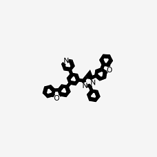 c1ccc(C2=NC3(c4ccc5oc6ccccc6c5c4)CC3C(c3cc(-c4ccncc4)cc(-c4ccc5oc6ccccc6c5c4)c3)=N2)cc1